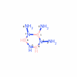 NB1N(N)BNBN1N